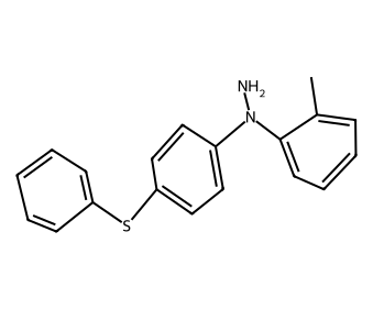 Cc1ccccc1N(N)c1ccc(Sc2ccccc2)cc1